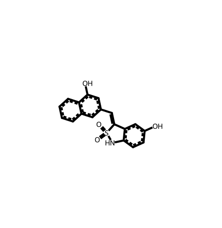 O=S1(=O)Nc2ccc(O)cc2C1=Cc1cc(O)c2ccccc2c1